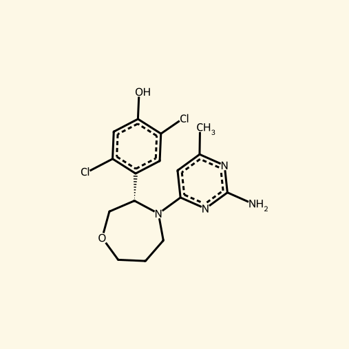 Cc1cc(N2CCCOC[C@@H]2c2cc(Cl)c(O)cc2Cl)nc(N)n1